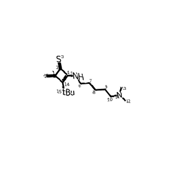 C=C1C(=S)C(NCCCCCN(C)C)=C1C(C)(C)C